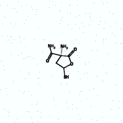 NC(=O)[C@]1(N)CC(S)OC1=O